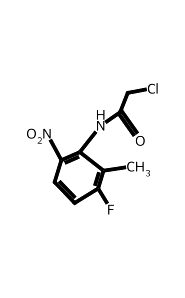 Cc1c(F)ccc([N+](=O)[O-])c1NC(=O)CCl